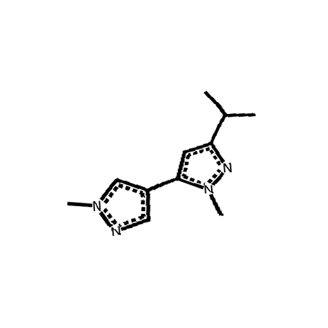 CC(C)c1cc(-c2cnn(C)c2)n(C)n1